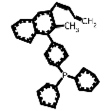 C=C/C=C\c1cc2ccccc2c(-c2ccc(P(c3ccccc3)c3ccccc3)cc2)c1C